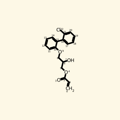 C=CC(=O)OCC(O)COc1ccccc1-c1ccccc1Cl